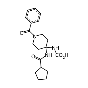 O=C(O)NC1(NC(=O)C2CCCC2)CCN(C(=O)c2ccccc2)CC1